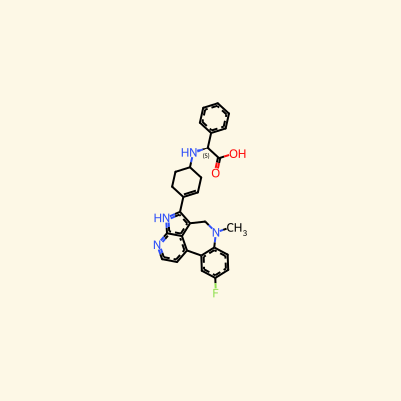 CN1Cc2c(C3=CCC(N[C@H](C(=O)O)c4ccccc4)CC3)[nH]c3nccc(c23)-c2cc(F)ccc21